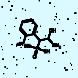 CCCc1ccccc1C(C(N)O)P(=O)(S)S